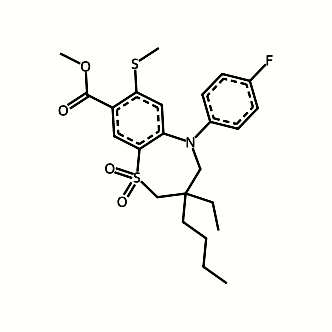 CCCCC1(CC)CN(c2ccc(F)cc2)c2cc(SC)c(C(=O)OC)cc2S(=O)(=O)C1